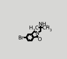 CC(C)(N)CN1Cc2cc(Br)ccc2C1=O